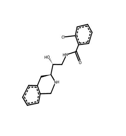 O=C(NC[C@@H](O)[C@@H]1Cc2ccccc2CN1)c1ccccc1Cl